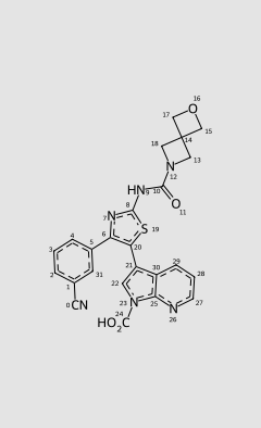 N#Cc1cccc(-c2nc(NC(=O)N3CC4(COC4)C3)sc2-c2cn(C(=O)O)c3ncccc23)c1